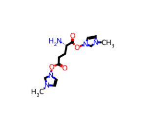 CN1C=CN(OC(=O)CC[C@H](N)C(=O)ON2C=CN(C)C2)C1